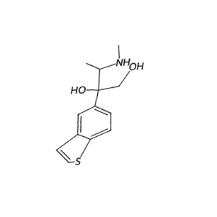 CNC(C)C(O)(CO)c1ccc2sccc2c1